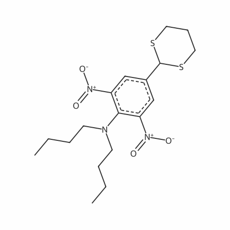 CCCCN(CCCC)c1c([N+](=O)[O-])cc(C2SCCCS2)cc1[N+](=O)[O-]